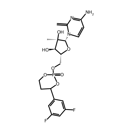 C=C1N=C(N)C=CN1[C@@H]1O[C@H](COP2(=O)OCCC(c3cc(F)cc(F)c3)O2)[C@@H](O)[C@@]1(C)O